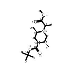 COC(=O)C(C)N1C[C@H](C)N(C(=O)OC(C)(C)C)C[C@H]1C